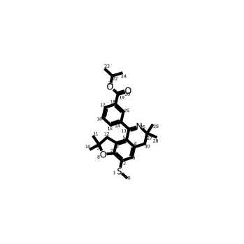 CSc1cc2c(c3c1OC(C)(C)C3)C(c1cccc(C(=O)OC(C)C)c1)=NC(C)(C)C2